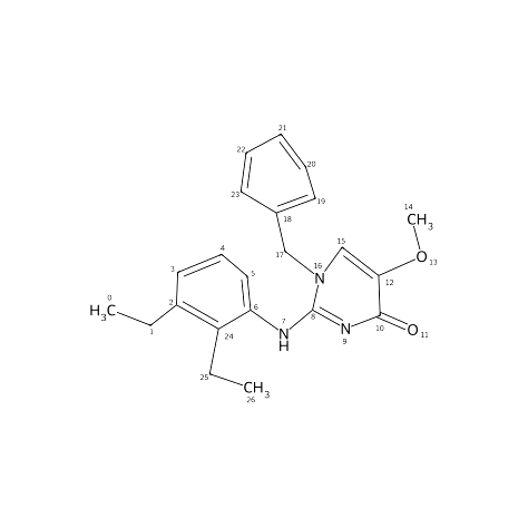 CCc1cccc(Nc2nc(=O)c(OC)cn2Cc2ccccc2)c1CC